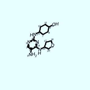 Nc1cnc(NC2CCC(O)CC2)nc1NC1CCOC1